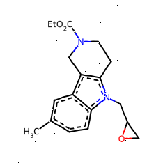 CCOC(=O)N1CCc2c(c3cc(C)ccc3n2CC2CO2)C1